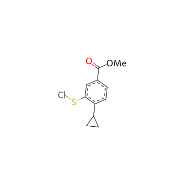 COC(=O)c1ccc(C2CC2)c(SCl)c1